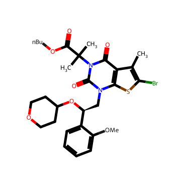 CCCCOC(=O)C(C)(C)n1c(=O)c2c(C)c(Br)sc2n(C[C@H](OC2CCOCC2)c2ccccc2OC)c1=O